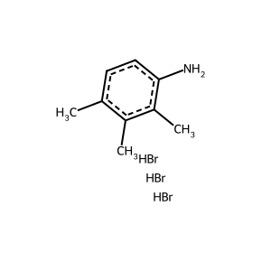 Br.Br.Br.Cc1ccc(N)c(C)c1C